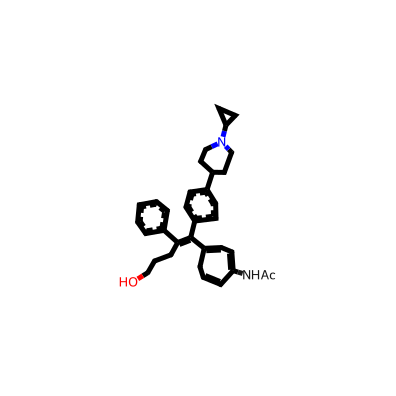 CC(=O)NC1=CC=C(/C(=C(\CCCO)c2ccccc2)c2ccc(C3CCN(C4CC4)CC3)cc2)CC=C1